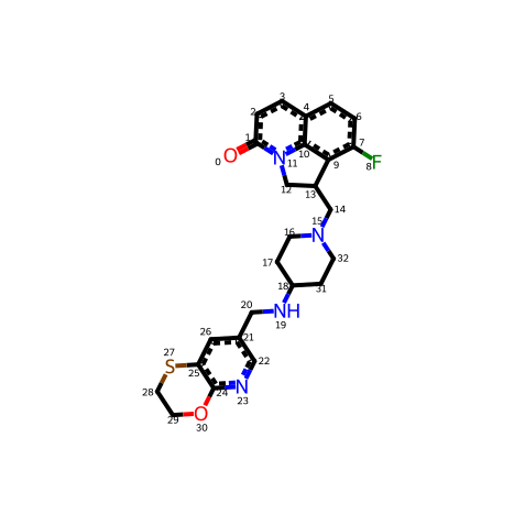 O=c1ccc2ccc(F)c3c2n1CC3CN1CCC(NCc2cnc3c(c2)SCCO3)CC1